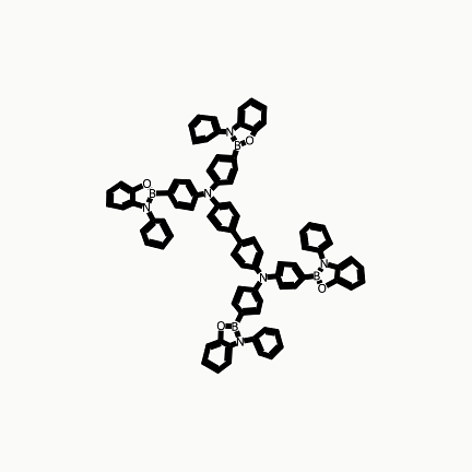 c1ccc(N2B(c3ccc(N(c4ccc(B5Oc6ccccc6N5c5ccccc5)cc4)c4ccc(-c5ccc(N(c6ccc(B7Oc8ccccc8N7c7ccccc7)cc6)c6ccc(B7Oc8ccccc8N7c7ccccc7)cc6)cc5)cc4)cc3)Oc3ccccc32)cc1